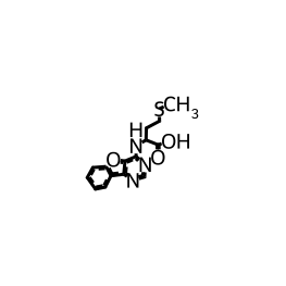 CSCCC(Nc1ncnc2c1oc1ccccc12)C(=O)O